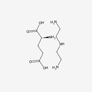 NCCNCCN.N[C@@H](CCC(=O)O)C(=O)O